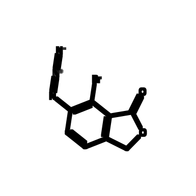 [N-]=[N+]=Nc1ccc2c(c1Br)C(=O)OC2